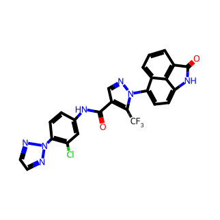 O=C(Nc1ccc(-n2nccn2)c(Cl)c1)c1cnn(-c2ccc3c4c(cccc24)C(=O)N3)c1C(F)(F)F